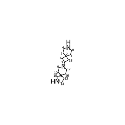 C1CC2(CCN1)CC(N1CCC3(CCNC3)CC1)C2